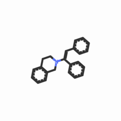 C(=C(/c1ccccc1)N1CCc2ccccc2C1)/c1ccccc1